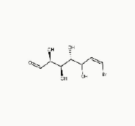 O=C[C@@H](O)[C@H](O)[C@H](O)C(O)/C=C\Br